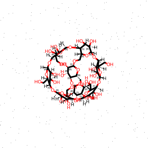 OC[C@H]1O[C@H](O[C@H]2[C@H](O)[C@@H](O)[C@@H](OC[C@H]3O[C@@H]4O[C@H]5[C@H](O)[C@@H](O)[C@@H](O[C@H]6[C@H](O)[C@@H](O)[C@@H](O[C@H]7[C@H](O)[C@@H](O)[C@@H](O[C@H]8[C@H](O)[C@@H](O)[C@@H](O[C@H]9[C@H](O)[C@@H](O)[C@@H](O[C@H]3[C@H](O)[C@H]4O)O[C@@H]9CO)O[C@@H]8CO)O[C@@H]7CO)O[C@@H]6CO)O[C@@H]5CO)O[C@@H]2CO)[C@H](O)[C@@H](O)[C@@H]1O